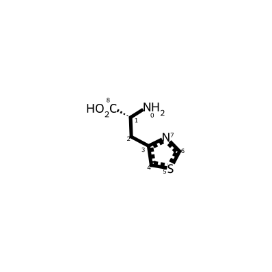 N[C@H](Cc1cscn1)C(=O)O